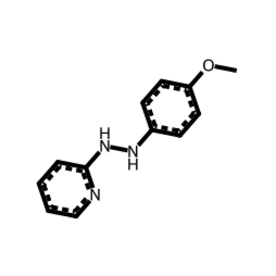 COc1ccc(NNc2ccccn2)cc1